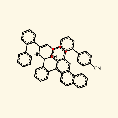 N#Cc1ccc(-c2cccc(C3C=C(c4ccccc4-c4ccccc4)NC(c4ccccc4-c4c5ccccc5cc5c4ccc4ccccc45)N3)c2)cc1